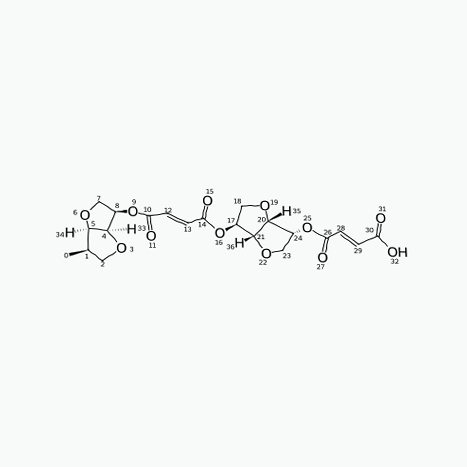 C[C@@H]1CO[C@H]2[C@@H]1OC[C@H]2OC(=O)C=CC(=O)O[C@H]1CO[C@H]2[C@@H]1OC[C@H]2OC(=O)C=CC(=O)O